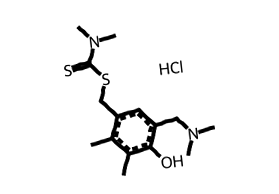 Cc1c(CSC(=S)N(C)C)cc(CN(C)C)c(O)c1C.Cl